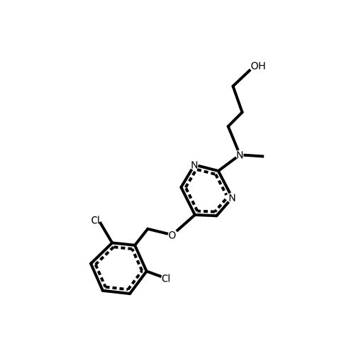 CN(CCCO)c1ncc(OCc2c(Cl)cccc2Cl)cn1